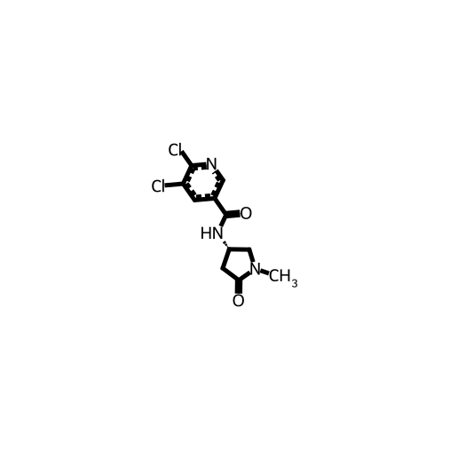 CN1C[C@@H](NC(=O)c2cnc(Cl)c(Cl)c2)CC1=O